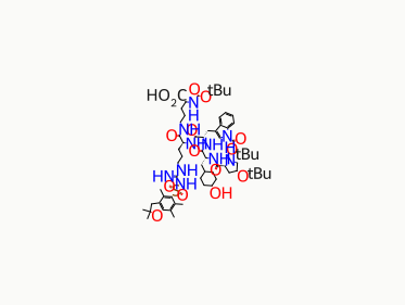 Cc1c(C)c(S(=O)(=O)NC(=N)NCCC[C@H](NC(=O)[C@H](Cc2cn(C(=O)OC(C)(C)C)c3ccccc23)NC(=O)[C@@H](CC2CCC(O)CC2)NC(=O)[C@@H]2C[C@@H](OC(C)(C)C)CN2)C(=O)NCCC[C@H](NC(=O)OC(C)(C)C)C(=O)O)c(C)c2c1OC(C)(C)C2